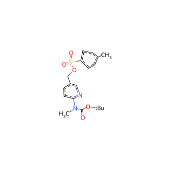 Cc1ccc(S(=O)(=O)OCc2ccc(N(C)C(=O)OC(C)(C)C)nc2)cc1